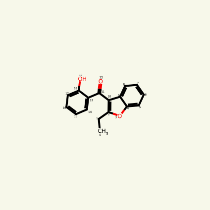 CCc1oc2ccccc2c1C(=O)c1ccccc1O